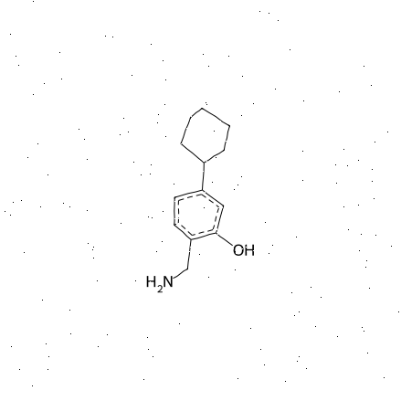 NCc1ccc(C2CCCCC2)cc1O